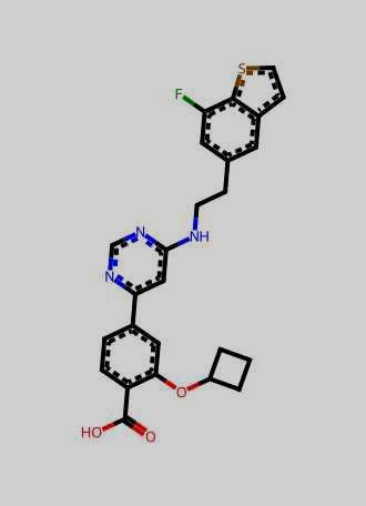 O=C(O)c1ccc(-c2cc(NCCc3cc(F)c4sccc4c3)ncn2)cc1OC1CCC1